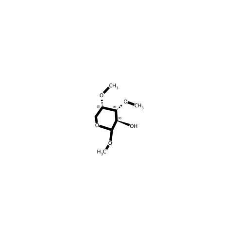 COC1OC[C@H](OC)[C@H](OC)[C@H]1O